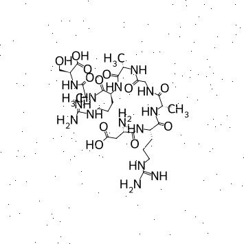 C[C@H](NC(=O)CNC(=O)[C@H](C)NC(=O)[C@H](CCCNC(=N)N)NC(=O)[C@@H](N)CC(=O)O)C(=O)N[C@@H](CCCNC(=N)N)C(=O)N[C@@H](C)C(=O)N[C@@H](CO)C(=O)O